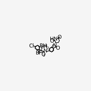 Bc1cc(Cl)cc(B)c1C(F)(F)C(=O)NCc1ccc2c(c1)CN(C1CCC(=O)NC1=O)C2=O